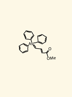 COC(=O)C=CC=[As](c1ccccc1)(c1ccccc1)c1ccccc1